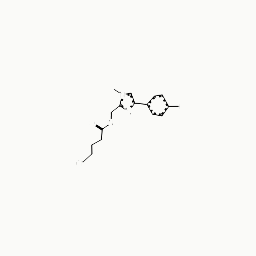 C[C@@H](NC(=O)CCCCl)c1nc(-c2ccc(I)cc2)cn1C